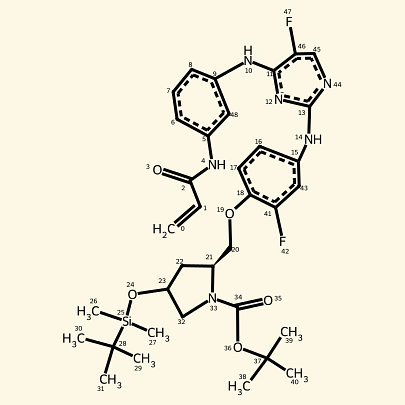 C=CC(=O)Nc1cccc(Nc2nc(Nc3ccc(OC[C@@H]4CC(O[Si](C)(C)C(C)(C)C)CN4C(=O)OC(C)(C)C)c(F)c3)ncc2F)c1